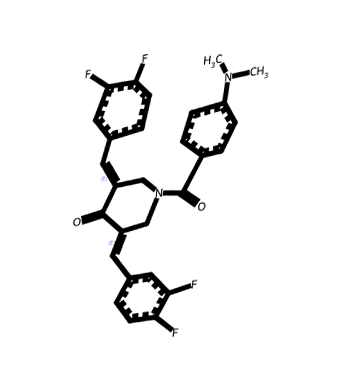 CN(C)c1ccc(C(=O)N2C/C(=C\c3ccc(F)c(F)c3)C(=O)/C(=C/c3ccc(F)c(F)c3)C2)cc1